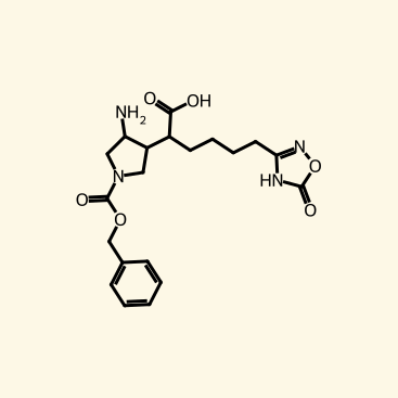 NC1CN(C(=O)OCc2ccccc2)CC1C(CCCCc1noc(=O)[nH]1)C(=O)O